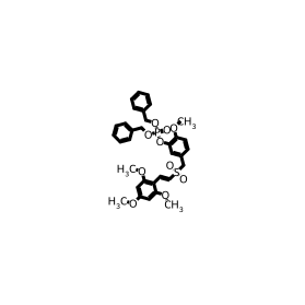 COc1cc(OC)c(C=CS(=O)(=O)Cc2ccc(OC)c(OP(=O)(OCc3ccccc3)OCc3ccccc3)c2)c(OC)c1